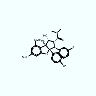 COc1cc(OC)c2c(c1)O[C@@]1(c3ccc(Br)cc3)[C@H](c3cccc(F)c3)[C@@H](C(=O)N(C)C)[C@@H](O)[C@@]21O